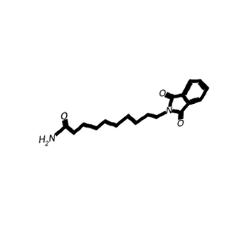 NC(=O)CCCCCCCCCN1C(=O)c2ccccc2C1=O